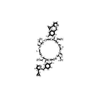 CC(C)C[C@H]1CO[C@H](C)CN(C)[C@@H](CC(C)C)CO[C@H](Cc2ccc(Cn3nccc3C3CC3)cc2)CN(C)[C@@H](CC(C)C)CO[C@H](C)CN(C)[C@@H](CC(C)C)CO[C@H](Cc2ccc(Cn3nccc3C3CC3)cc2)CN1C